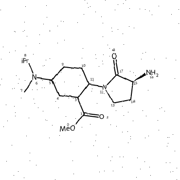 COC(=O)C1CC(N(C)C(C)C)CCC1N1CC[C@H](N)C1=O